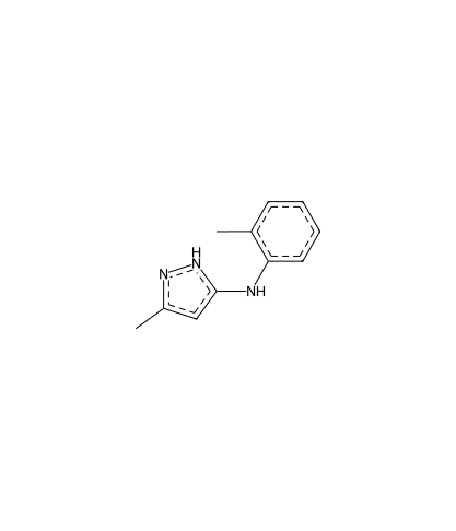 Cc1cc(Nc2ccccc2C)[nH]n1